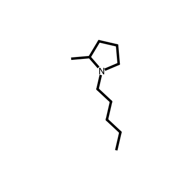 CCCCCN1CCCC1C